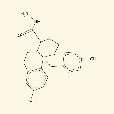 NNC(=O)C1CCC[C@@]2(Cc3ccc(O)cc3)c3ccc(O)cc3CCC12